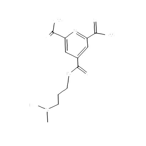 COC(=O)c1cc(C(=O)NCCCN(C)C)cc(C(=O)OC)n1